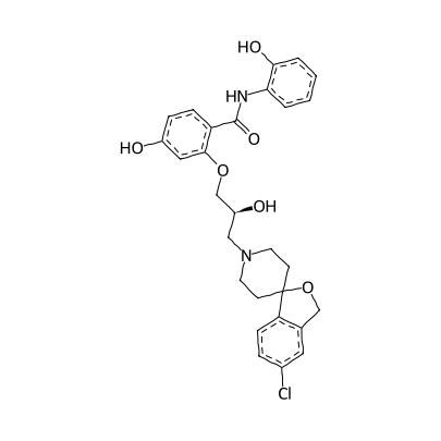 O=C(Nc1ccccc1O)c1ccc(O)cc1OC[C@@H](O)CN1CCC2(CC1)OCc1cc(Cl)ccc12